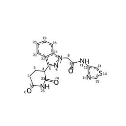 O=C1CCC(c2nn(CC(=O)Nc3cscn3)c3ccccc23)C(=O)N1